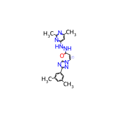 Cc1cc(C)cc(-c2ncn(/C=C\C(=O)NNc3cc(C)nc(C)n3)n2)c1